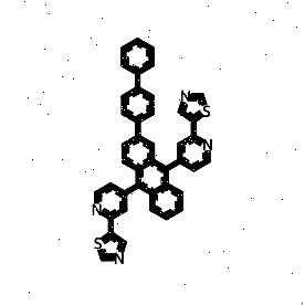 c1ccc(-c2ccc(-c3ccc4c(-c5ccnc(-c6cncs6)c5)c5ccccc5c(-c5ccnc(-c6cncs6)c5)c4c3)cc2)cc1